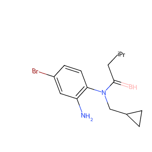 B=C(CC(C)C)N(CC1CC1)c1ccc(Br)cc1N